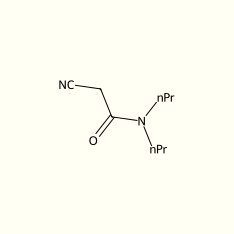 CCCN(CCC)C(=O)CC#N